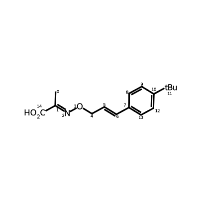 CC(=NOCC=Cc1ccc(C(C)(C)C)cc1)C(=O)O